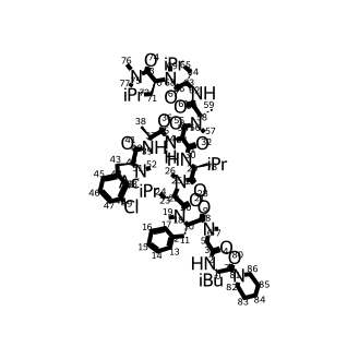 CC[C@H](C)[C@H](NC(=O)CN(C)C(=O)[C@H](Cc1ccccc1)N(C)C(=O)[C@H](CC(C)C)N(C)C(=O)[C@@H](NC(=O)C(NC(=O)[C@H](C)NC(=O)[C@H](Cc1cccc(Cl)c1)N(C)C(C)=O)C(=O)N(C)[C@@H](C)C(=O)N[C@@H](CC(C)C)C(=O)N(C)[C@@H](CC(C)C)C(=O)N(C)C)C(C)C)C(=O)N1CCCCC1